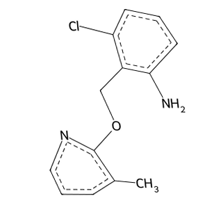 Cc1cccnc1OCc1c(N)cccc1Cl